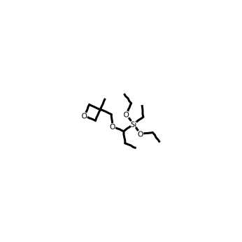 CCO[Si](CC)(OCC)C(CC)OCC1(C)COC1